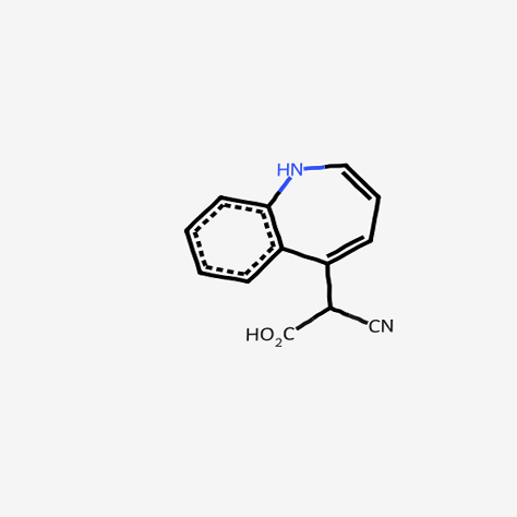 N#CC(C(=O)O)C1=CC=CNc2ccccc21